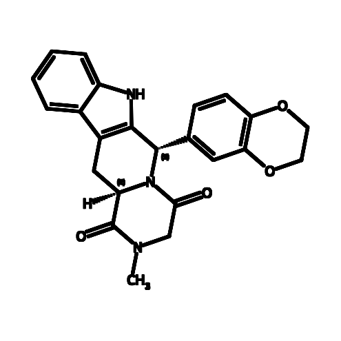 CN1CC(=O)N2[C@@H](c3ccc4c(c3)OCCO4)c3[nH]c4ccccc4c3C[C@@H]2C1=O